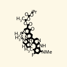 CNc1cc(F)c(C)c2c1[nH]c1ncc(-c3cnc4c(c3)c(=O)c(C(=O)OC(C)OC(=O)OC(C)C)cn4C)c(N3CC[C@H]4CN(C)C[C@H]43)c12